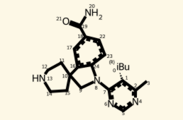 CC[C@@H](C)c1c(C)ncnc1N1CC2(CCNCC2)c2cc(C(N)=O)ccc21